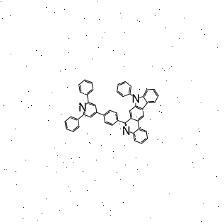 c1ccc(-c2cc(-c3ccc(-c4nc5ccccc5c5cc6c7ccccc7n(-c7ccccc7)c6cc45)cc3)cc(-c3ccccc3)n2)cc1